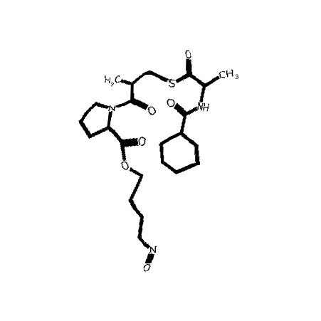 CC(CSC(=O)C(C)NC(=O)C1CCCCC1)C(=O)N1CCCC1C(=O)OCCCCN=O